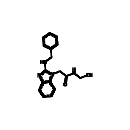 N#CCNC(=O)Cn1c(NCc2ccccc2)nc2ccccc21